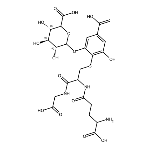 C=C(O)c1cc(O)c(SCC(NC(=O)CCC(N)C(=O)O)C(=O)NCC(=O)O)c(OC2OC(C(=O)O)[C@@H](O)[C@H](O)[C@H]2O)c1